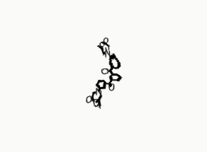 O=C(c1cccc(C(=O)c2cccc(N(CC3CO3)CC3CO3)c2)c1)c1cccc(N(CC2CO2)CC2CO2)c1